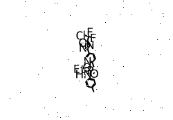 CCOP(=O)(Cc1ccc(-c2noc(C(F)(F)Cl)n2)cn1)Nc1ccc(C)cc1